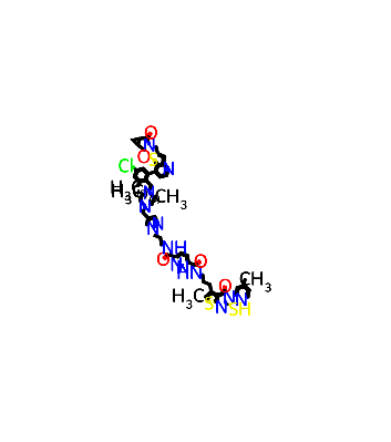 Cc1ccnc(-n2c(S)nc3sc(C)c(CCCNC(=O)c4ccc(C(=O)NCCCn5cc(CN6C[C@H](C)N(Cc7c(C)cc(Cl)cc7-c7ccnc8cc(CN9C(=O)C%10CC%10C9=O)sc78)[C@@H](C)C6)cn5)nn4)c3c2=O)c1